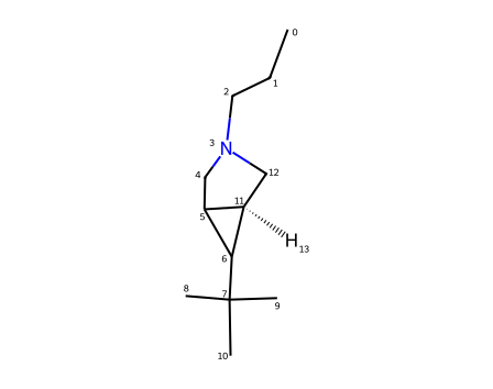 CCCN1CC2C(C(C)(C)C)[C@@H]2C1